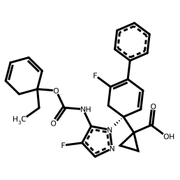 CCC1(OC(=O)Nc2c(F)cnn2[C@@]2(C3(C(=O)O)CC3)C=CC(c3ccccc3)=C(F)C2)C=CC=CC1